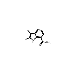 Cc1[nH]c2c(C(N)=O)cccc2c1C